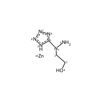 NN(CCO)c1nnn[nH]1.[Zn]